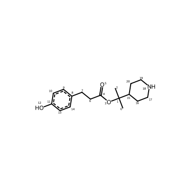 CC(C)(OC(=O)CCc1ccc(O)cc1)C1CCNCC1